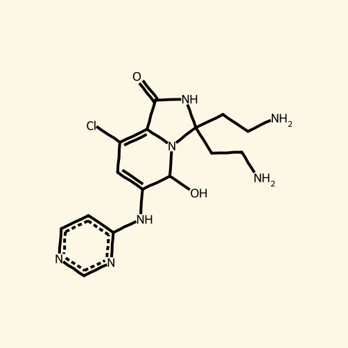 NCCC1(CCN)NC(=O)C2=C(Cl)C=C(Nc3ccncn3)C(O)N21